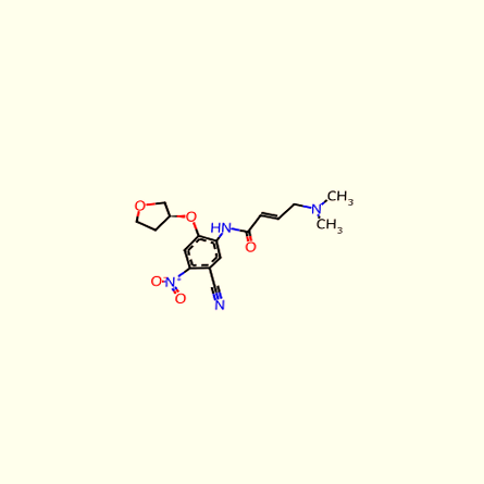 CN(C)C/C=C/C(=O)Nc1cc(C#N)c([N+](=O)[O-])cc1O[C@H]1CCOC1